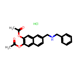 CC(=O)Oc1cc2ccc(CNCc3ccccc3)cc2cc1OC(C)=O.Cl